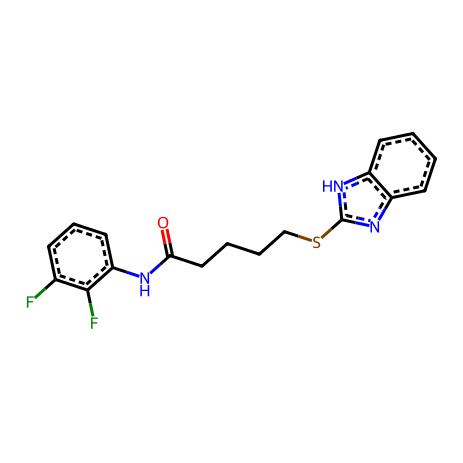 O=C(CCCCSc1nc2ccccc2[nH]1)Nc1cccc(F)c1F